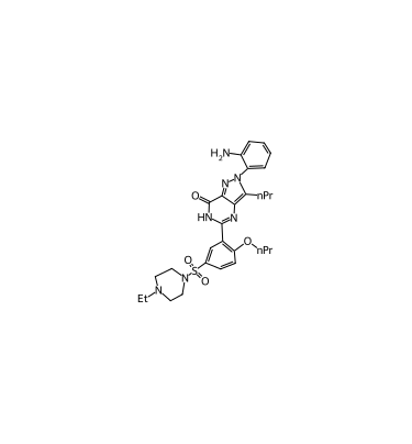 CCCOc1ccc(S(=O)(=O)N2CCN(CC)CC2)cc1-c1nc2c(CCC)n(-c3ccccc3N)nc2c(=O)[nH]1